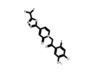 Cc1cc(C(=O)Cn2ccc(-c3nnc(C(F)F)o3)cc2=O)c(F)cc1Cl